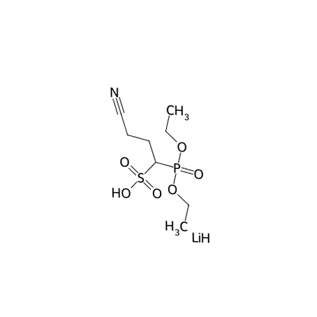 CCOP(=O)(OCC)C(CCC#N)S(=O)(=O)O.[LiH]